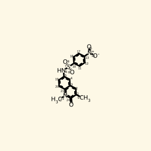 Cc1cc2cc(NS(=O)(=O)c3ccc([N+](=O)[O-])cc3)ccc2n(C)c1=O